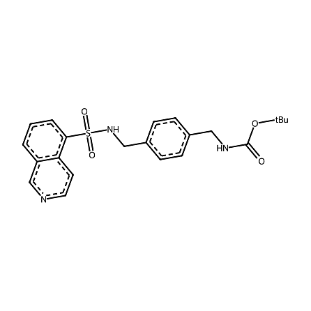 CC(C)(C)OC(=O)NCc1ccc(CNS(=O)(=O)c2cccc3cnccc23)cc1